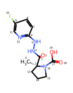 C[C@@]1(C(=O)NNc2ccc(F)cn2)CCCN1C(=O)O